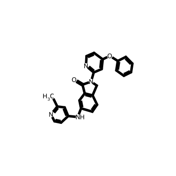 Cc1cc(Nc2ccc3c(c2)C(=O)N(c2cc(Oc4ccccc4)ccn2)C3)ccn1